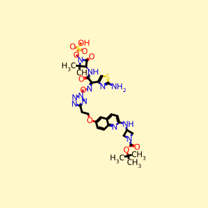 CC(C)(C)OC(=O)N1CC(Nc2ccc3cc(OCCc4nnn(O/N=C(\C(=O)N[C@@H]5C(=O)N(OS(=O)(=O)O)C5(C)C)c5csc(N)n5)n4)ccc3n2)C1